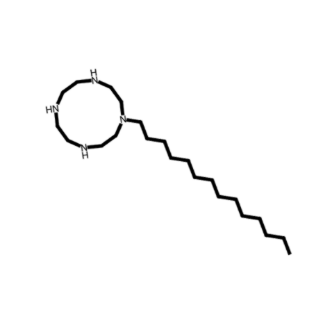 CCCCCCCCCCCCCCN1CCNCCNCCNCC1